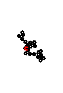 c1ccc(-c2c(-c3cccc(-c4ccc(N(c5ccc6c(c5)C5(c7ccccc7-c7cc(-c8cc(-c9cccc(-c%10ccc(N(c%11ccc%12c(c%11)C%11(c%13ccccc%13-c%13ccccc%13%11)c%11ccccc%11-%12)c%11ccc%12ccccc%12c%11)cc%10)c9)c(-c9ccccc9)c9ccccc89)ccc75)c5ccccc5-6)c5ccc6ccccc6c5)cc4)c3)ccc3ccccc23)cc1